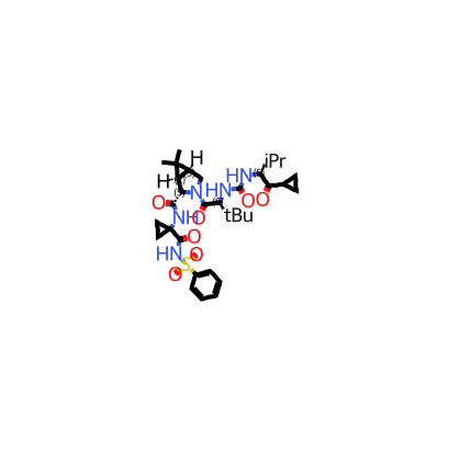 CC(C)[C@H](NC(=O)N[C@H](C(=O)N1C[C@H]2[C@@H]([C@H]1C(=O)NC1(C(=O)NS(=O)(=O)c3ccccc3)CC1)C2(C)C)C(C)(C)C)C(=O)C1CC1